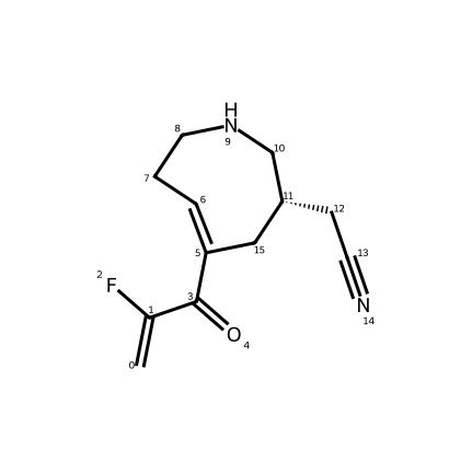 C=C(F)C(=O)/C1=C\CCNC[C@H](CC#N)C1